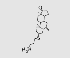 C=C1CC2C3CCC(=O)C3(C)CCC2C2(C)CCC(SCCCN)CC12